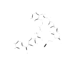 C#CCCN1C(=O)SC(=Cc2ccc(Sc3nc4ccccc4n3CCCNC(=O)c3ccc(C(=O)c4ccccc4)cc3)o2)C1=O